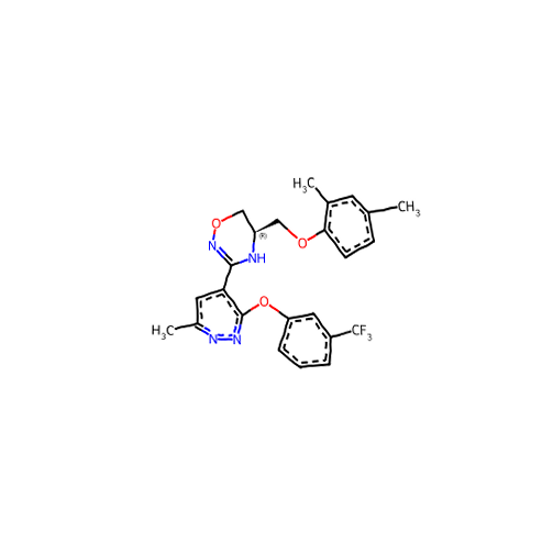 Cc1ccc(OC[C@@H]2CON=C(c3cc(C)nnc3Oc3cccc(C(F)(F)F)c3)N2)c(C)c1